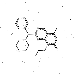 CCCn1c(=O)cc(C)c2cnc(N(c3ccccc3)N3CCNCC3)nc21